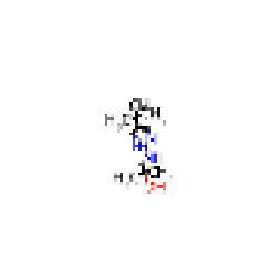 CC(C)(O)CNc1ncc(C(C)(C)C)cn1